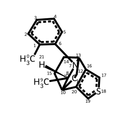 Cc1ccccc1N1[C@@H](C)C23CCC1(CC2)c1cscc13